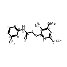 CSc1nc(NC(C)=O)nc(SCC(=O)Nc2cccc(C(F)(F)F)c2)c1C#N